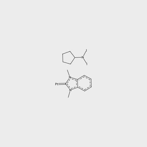 Cn1[c](=[Pt])n(C)c2ccccc21.IN(I)C1CCCC1